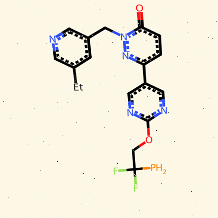 CCc1cncc(Cn2nc(-c3cnc(OCC(F)(F)P)nc3)ccc2=O)c1